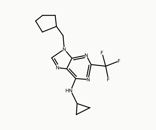 FC(F)(F)c1nc(NC2CC2)c2ncn(CC3CCCC3)c2n1